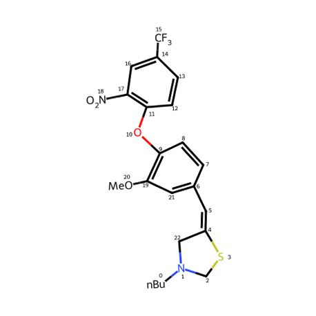 CCCCN1CSC(=Cc2ccc(Oc3ccc(C(F)(F)F)cc3[N+](=O)[O-])c(OC)c2)C1